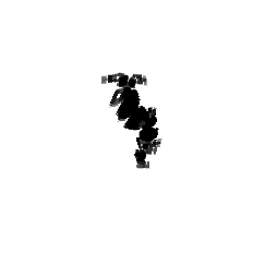 CC(C)(C)c1cc(NC(=O)Nc2ccc(-c3cnc4cc(-c5ccc(C(=O)N(CCO)CCO)cc5)ccn34)cc2F)no1